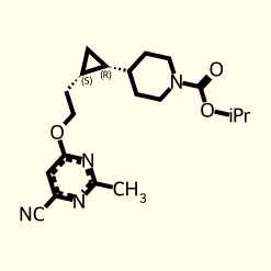 Cc1nc(C#N)cc(OCC[C@@H]2C[C@@H]2C2CCN(C(=O)OC(C)C)CC2)n1